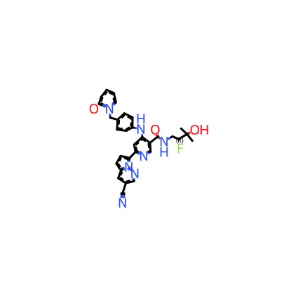 CC(C)(O)[C@H](F)CNC(=O)c1cnc(-c2ccc3cc(C#N)cnn23)cc1Nc1ccc(Cn2ccccc2=O)cc1